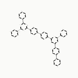 c1ccc(-c2ccc(-c3cc(-c4ccccn4)nc(-c4ccc(-c5ccc(-c6nc(-c7ccccc7)nc(-c7ccccc7)n6)cc5)cn4)c3)cc2)cc1